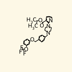 CC(C)OC(=O)c1cccnc1N1CCN(Cc2ccc(COc3cccc(OC(F)(F)F)c3)cc2)CC1